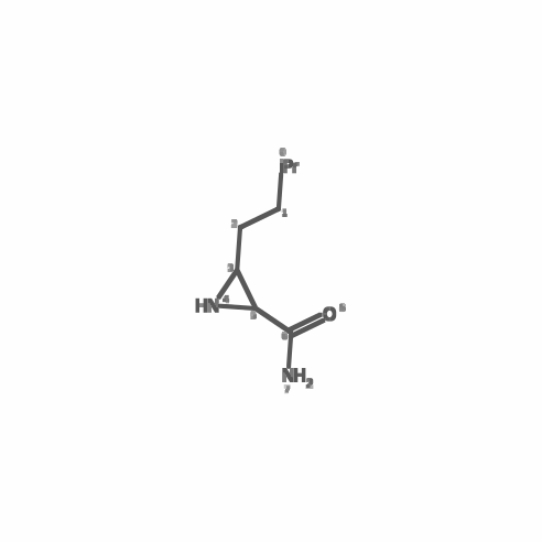 CC(C)CCC1NC1C(N)=O